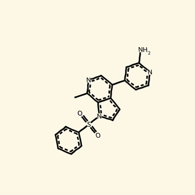 Cc1ncc(-c2ccnc(N)c2)c2ccn(S(=O)(=O)c3ccccc3)c12